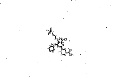 Cc1nn(CCOCC(F)(F)F)c2c(Nc3ccncn3)nc(N3CCC[C@H](C(=O)O)C3)nc12